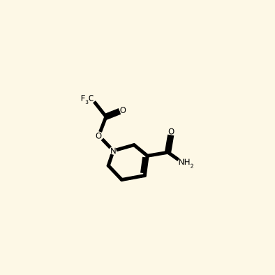 NC(=O)C1=CCCN(OC(=O)C(F)(F)F)C1